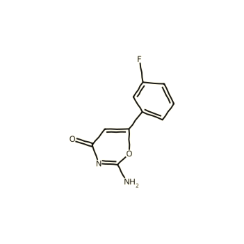 Nc1nc(=O)cc(-c2cccc(F)c2)o1